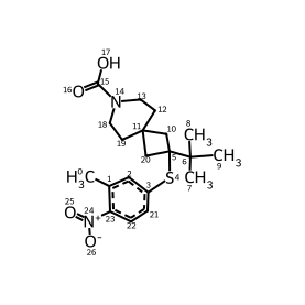 Cc1cc(SC2(C(C)(C)C)CC3(CCN(C(=O)O)CC3)C2)ccc1[N+](=O)[O-]